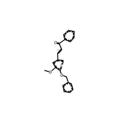 COc1cc(/C=C/C(=O)c2ccccc2)ccc1OCc1ccccc1